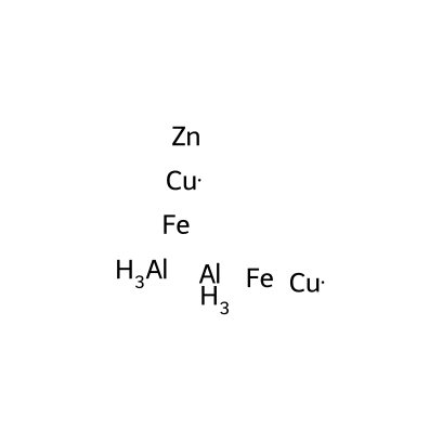 [AlH3].[AlH3].[Cu].[Cu].[Fe].[Fe].[Zn]